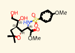 COC(=O)[C@H](NS(=O)(=O)c1ccc(OC)cc1)[C@@H]1OC(C)(C)C[C@H]1[C@H](O)CO